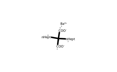 CCCCCCCC(CCCCCCC)(C(=O)[O-])C(=O)[O-].[Ba+2]